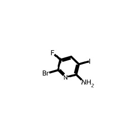 Nc1nc(Br)c(F)cc1I